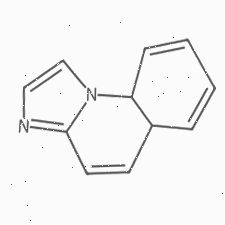 C1=CC2C=Cc3nccn3C2C=C1